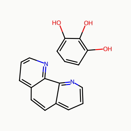 Oc1cccc(O)c1O.c1cnc2c(c1)ccc1cccnc12